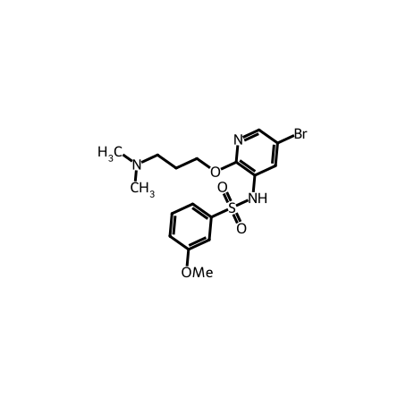 COc1cccc(S(=O)(=O)Nc2cc(Br)cnc2OCCCN(C)C)c1